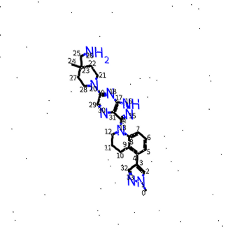 Cn1cc(-c2cccc3c2CCCN3c2n[nH]c3nc(N4CCC(C)(CN)CC4)cnc23)cn1